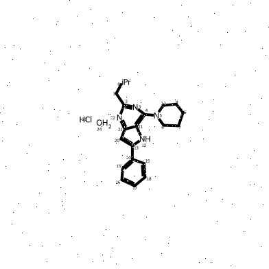 CC(C)Cc1nc(N2CCCCC2)c2[nH]c(-c3ccccc3)cc2n1.Cl.O